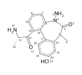 CC1C(=O)N(N)c2cccc(C(=O)[C@H](C)N)c2-c2ccccc21.Cl